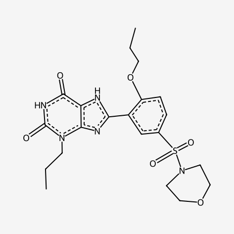 CCCOc1ccc(S(=O)(=O)N2CCOCC2)cc1-c1nc2c([nH]1)c(=O)[nH]c(=O)n2CCC